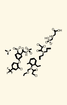 C=CCN(CC=C)C(=O)C(Cl)Cl.CCOCN(C(=O)CCl)c1c(C)cccc1CC.CS(=O)(=O)NC(=O)c1cc(Oc2ccc(C(F)(F)F)cc2Cl)ccc1[N+](=O)[O-].C[S+](C)C.O=C(O)CNCP(=O)([O-])O